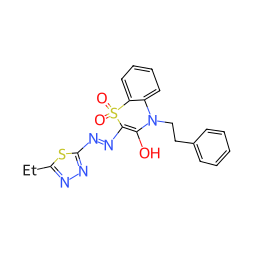 CCc1nnc(N=NC2=C(O)N(CCc3ccccc3)c3ccccc3S2(=O)=O)s1